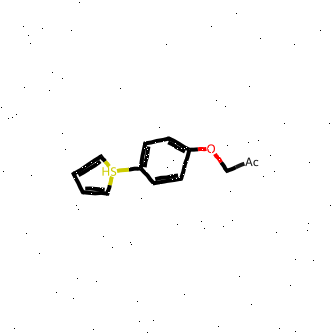 CC(=O)COc1ccc([SH]2C=CC=C2)cc1